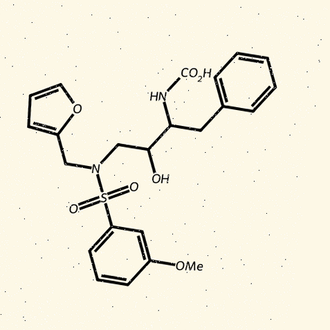 COc1cccc(S(=O)(=O)N(Cc2ccco2)CC(O)C(Cc2ccccc2)NC(=O)O)c1